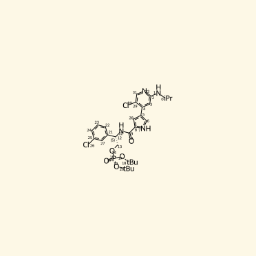 CC(C)Nc1cc(-c2c[nH]c(C(=O)N[C@H](COP(=O)(OC(C)(C)C)OC(C)(C)C)c3cccc(Cl)c3)c2)c(Cl)cn1